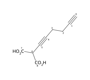 C#CCCC#CC(C(=O)O)C(=O)O